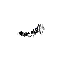 CNc1nc(Nc2cccc(F)c2)ncc1C#C[C@H]1C[C@H](NC(=O)[C@H](C)N(C)C(=O)/C=C/CN(C)C)C1